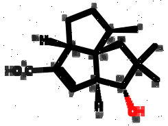 C[C@@H]1CC[C@H]2C(C(=O)O)=C[C@@H]3[C@@H](O)C(C)(C)C[C@@]132